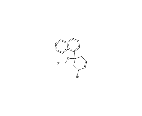 O=COC1(c2cccc3ccccc23)CC=CC(Br)C1